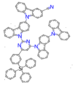 N#Cc1ccc2c(c1)c1ccccc1n2-c1ccc2c(c1)c1ccccc1n2-c1nc(-c2cccc([Si](c3ccccc3)(c3ccccc3)c3ccccc3)c2)cc(-n2c3ccccc3c3cc(-n4c5ccccc5c5ccccc54)ccc32)n1